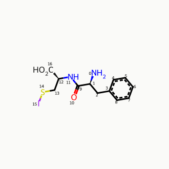 N[C@@H](Cc1ccccc1)C(=O)N[C@@H](CSI)C(=O)O